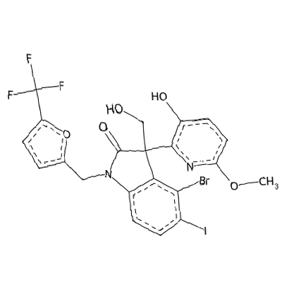 COc1ccc(O)c(C2(CO)C(=O)N(Cc3ccc(C(F)(F)F)o3)c3ccc(I)c(Br)c32)n1